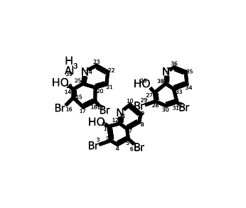 Oc1c(Br)cc(Br)c2cccnc12.Oc1c(Br)cc(Br)c2cccnc12.Oc1c(Br)cc(Br)c2cccnc12.[AlH3]